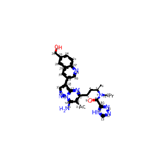 CC(=O)c1c(CC[C@@H](C)N(C(=O)c2nnc[nH]2)C(C)C)nc2c(-c3cnc4ccc(CO)cc4c3)cnn2c1N